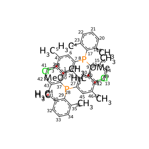 COc1c(Cl)c(C)cc(P(c2c(C)cccc2C)c2c(C)cccc2C)c1-c1c(P(c2c(C)cccc2C)c2c(C)cccc2C)cc(C)c(Cl)c1OC